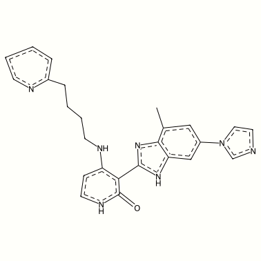 Cc1cc(-n2ccnc2)cc2[nH]c(-c3c(NCCCCc4ccccn4)cc[nH]c3=O)nc12